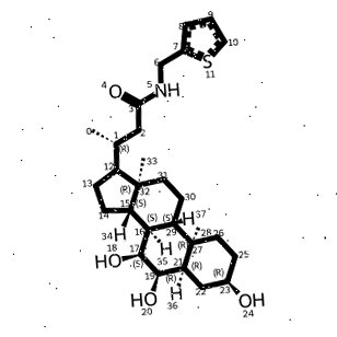 C[C@H](CC(=O)NCc1cccs1)C1CC[C@H]2[C@@H]3[C@H](O)[C@H](O)[C@@H]4C[C@H](O)CC[C@]4(C)[C@H]3CC[C@]12C